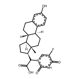 C[C@]12CC[C@@H]3c4ccc(O)cc4CC[C@H]3[C@@H]1CC[C@@H]2C(C(=O)O)n1cc(F)c(=O)[nH]c1=O